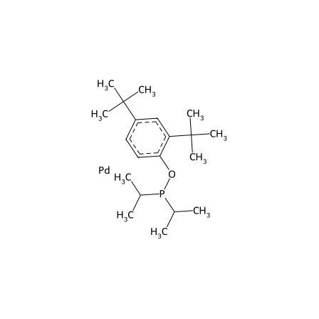 CC(C)P(Oc1ccc(C(C)(C)C)cc1C(C)(C)C)C(C)C.[Pd]